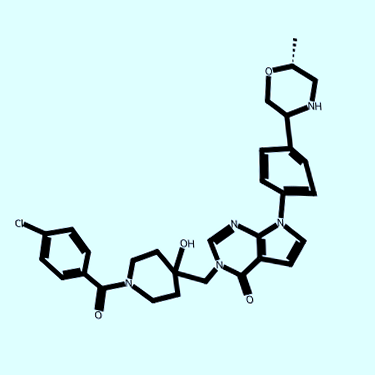 C[C@@H]1CNC(c2ccc(-n3ccc4c(=O)n(CC5(O)CCN(C(=O)c6ccc(Cl)cc6)CC5)cnc43)cc2)CO1